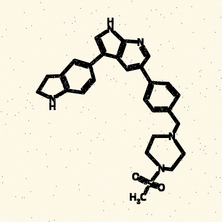 CS(=O)(=O)N1CCN(Cc2ccc(-c3cnc4[nH]cc(-c5ccc6c(c5)CCN6)c4c3)cc2)CC1